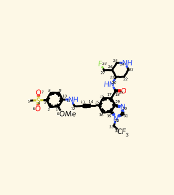 COc1cc(S(C)(=O)=O)ccc1NCC#Cc1cc(C(=O)NC2CCNCC2CF)c2ncn(CC(F)(F)F)c2c1